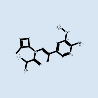 C=C(C(C#N)C(F)(F)F)N(/C=C(\C)c1cnc(N)c(OC(F)(F)F)c1)C1CC=C1C